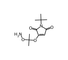 CC(C)(ON)OC1=CC(=O)N(C(C)(C)C)C1=O